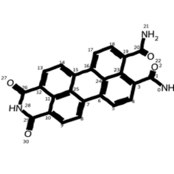 NC(=O)c1ccc2c3ccc4c5c(ccc(c6ccc(C(N)=O)c1c26)c53)C(=O)NC4=O